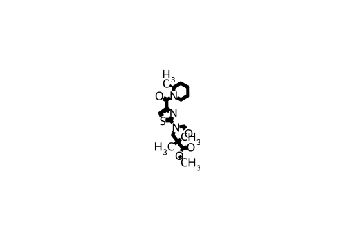 COC(=O)C(C)(C)CN(C=O)c1nc(C(=O)N2CCCC[C@@H]2C)cs1